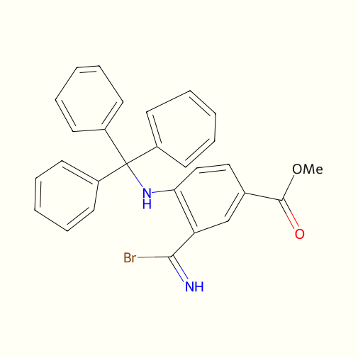 COC(=O)c1ccc(NC(c2ccccc2)(c2ccccc2)c2ccccc2)c(C(=N)Br)c1